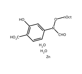 CCCCCCCCON(C=O)c1ccc(C(=O)O)c(O)c1.O.O.[Zn]